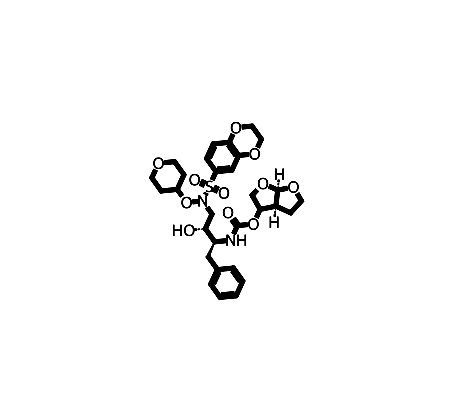 O=C(N[C@@H](Cc1ccccc1)[C@H](O)CN(OC1CCOCC1)S(=O)(=O)c1ccc2c(c1)OCCO2)OC1CO[C@H]2OCC[C@@H]12